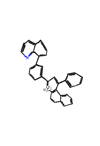 C=C(/C=C(/c1ccccc1)c1c(C)ccc2ccccc12)c1cccc(-c2cccc3cccnc23)c1